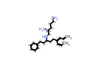 C=C/C=C(\C=C/C)CCC(CCc1ccccc1)NC[C@@H](N)CCCN